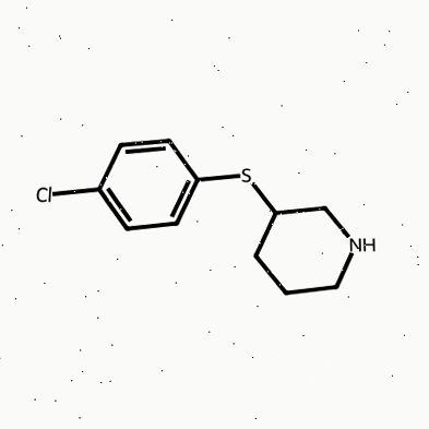 Clc1ccc(SC2CCCNC2)cc1